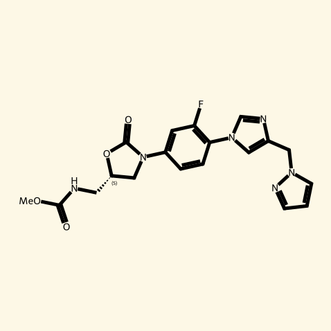 COC(=O)NC[C@H]1CN(c2ccc(-n3cnc(Cn4cccn4)c3)c(F)c2)C(=O)O1